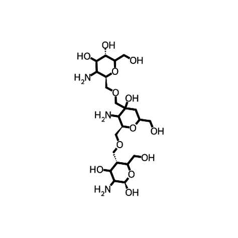 NC1C(O)[C@H](COC[C@@H]2OC(CO)CC(O)(COC[C@@H]3OC(CO)[C@@H](O)C(O)C3N)C2N)C(CO)O[C@H]1O